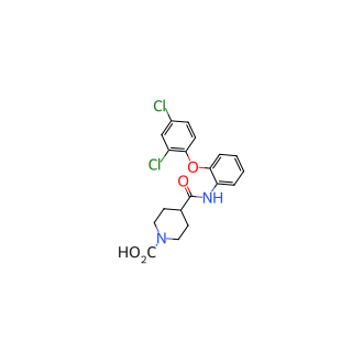 O=C(Nc1ccccc1Oc1ccc(Cl)cc1Cl)C1CCN(C(=O)O)CC1